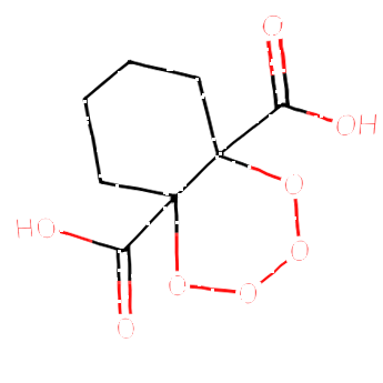 O=C(O)C12CCCCC1(C(=O)O)OOOO2